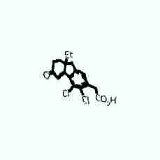 CCC12CCC(=O)C=C1c1c(cc(CC(=O)O)c(Cl)c1Cl)C2